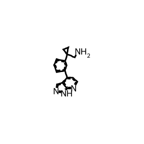 NCC1(c2cccc(-c3ccnc4[nH]ncc34)c2)CC1